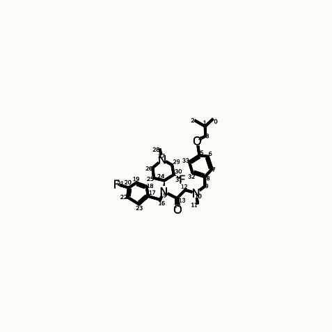 CC(C)COc1ccc(CN(C)CC(=O)N(Cc2ccc(F)cc2)[C@@H]2CCN(C)C[C@@H]2F)cc1